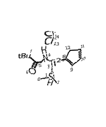 C[SiH](C)[Ti+2]([NH]C(=O)C(C)(C)C)[C]1=CC=CC1.[Cl-].[Cl-]